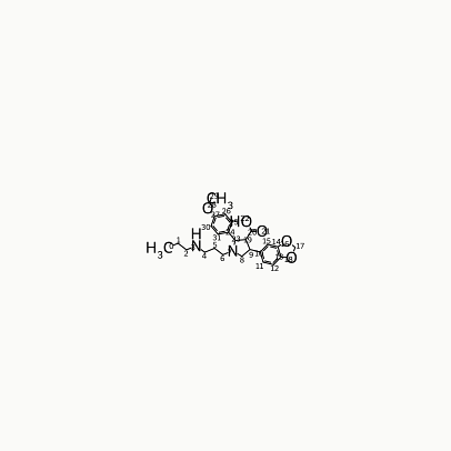 CCCNCCCN1CC(c2ccc3c(c2)OCO3)C(C(=O)O)C1c1ccc(OC)cc1